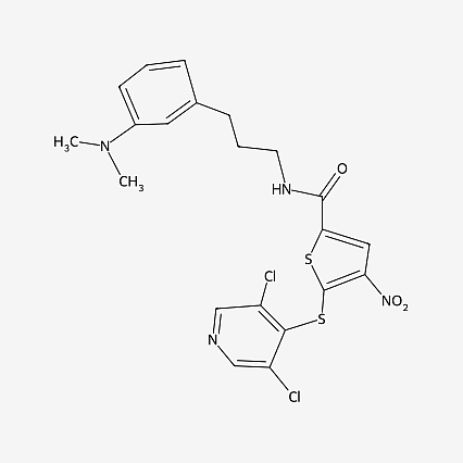 CN(C)c1cccc(CCCNC(=O)c2cc([N+](=O)[O-])c(Sc3c(Cl)cncc3Cl)s2)c1